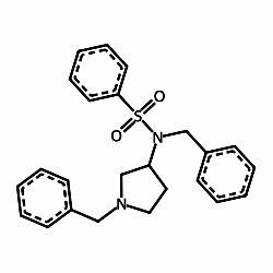 O=S(=O)(c1ccccc1)N(Cc1ccccc1)C1CCN(Cc2ccccc2)C1